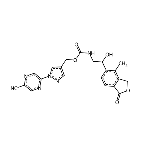 Cc1c(C(O)CNC(=O)OCc2cnn(-c3cnc(C#N)cn3)c2)ccc2c1COC2=O